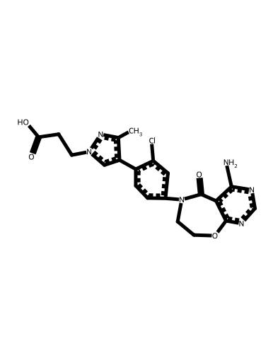 Cc1nn(CCC(=O)O)cc1-c1ccc(N2CCOc3ncnc(N)c3C2=O)cc1Cl